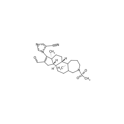 C[C@]12CCCN(S(C)(=O)=O)CC1CC[C@@H]1[C@@H]2CC[C@]2(C)C(n3cncc3C#N)=C(C=O)C[C@@H]12